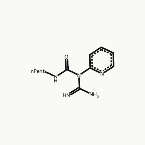 CCCCCNC(=O)N(C(=N)N)c1ccccn1